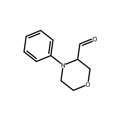 O=CC1COCCN1c1ccccc1